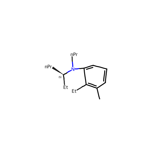 CCC[C@H](CC)N(CCC)c1cccc(C)c1CC